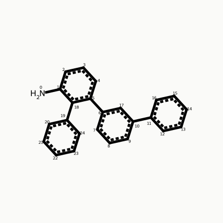 Nc1cccc(-c2cccc(-c3ccccc3)c2)c1-c1ccccc1